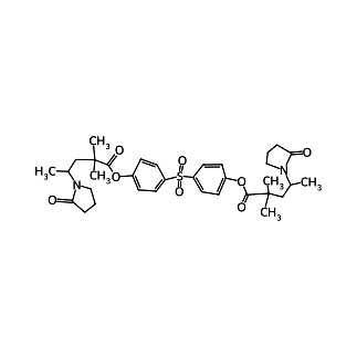 CC(CC(C)(C)C(=O)Oc1ccc(S(=O)(=O)c2ccc(OC(=O)C(C)(C)CC(C)N3CCCC3=O)cc2)cc1)N1CCCC1=O